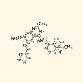 COc1cc2nc(C)nc(NCc3cccc(C(C)(F)F)c3F)c2cc1OC[C@H]1CCCO1